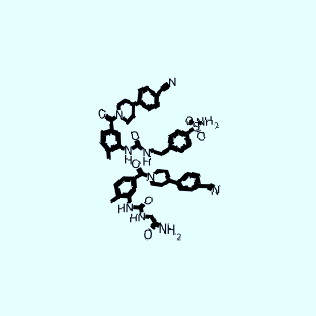 Cc1ccc(C(=O)N2CCC(c3ccc(C#N)cc3)CC2)cc1NC(=O)NCC(N)=O.Cc1ccc(C(=O)N2CCC(c3ccc(C#N)cc3)CC2)cc1NC(=O)NCCc1ccc(S(N)(=O)=O)cc1